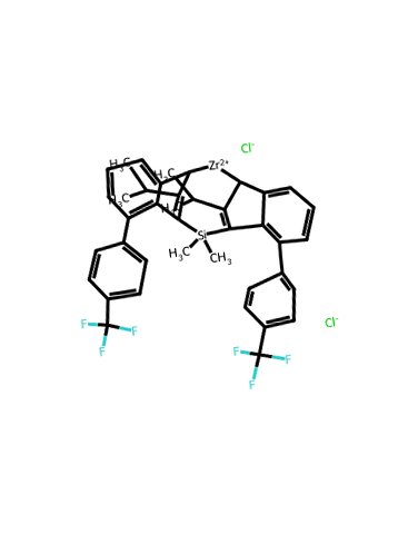 CC(C)C1=C2c3c(-c4ccc(C(F)(F)F)cc4)cccc3[CH]1[Zr+2][CH]1C(C(C)C)=C(c3c(-c4ccc(C(F)(F)F)cc4)cccc31)[Si]2(C)C.[Cl-].[Cl-]